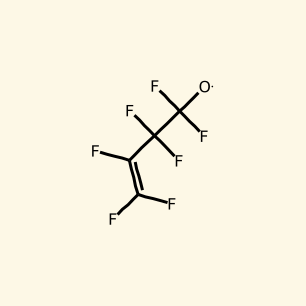 [O]C(F)(F)C(F)(F)C(F)=C(F)F